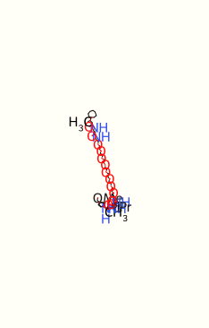 COCc1ccc(NC(=O)C(C)NC(=O)[C@@H](NC(=O)CCOCCOCCOCCOCCOCCOCCOCCOCCNC(=O)CCNC(=O)CC(C)C2CCCCCCC2)C(C)C)cc1